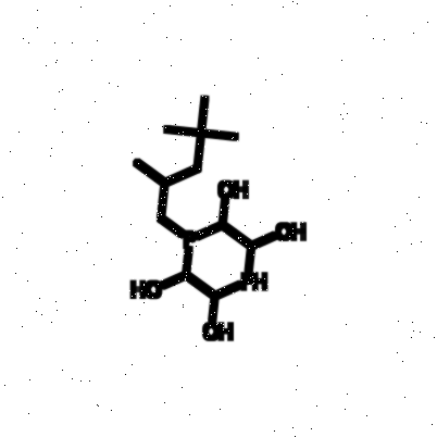 CC(CP1C(O)C(O)PC(O)C1O)CC(C)(C)C